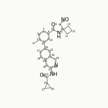 Cc1ccc(C(=O)NC2(CN=O)CCC2)cc1-c1ccc2cc(NC(=O)C3CC3)ncc2c1